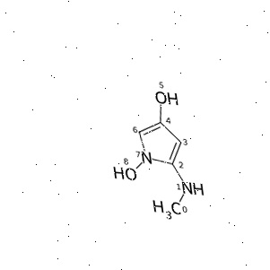 CNc1cc(O)cn1O